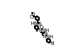 COC(=O)c1cccc(C(=O)Nc2ccc(C)c(N3Cc4cnc(Nc5cccc(N(C)C)c5)nc4NC3=O)c2)c1